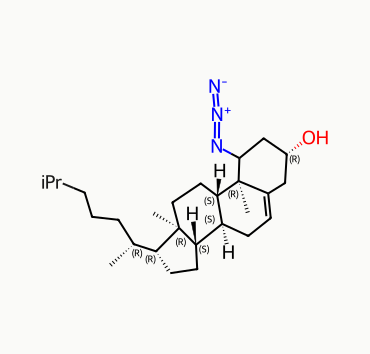 CC(C)CCC[C@@H](C)[C@H]1CC[C@H]2[C@@H]3CC=C4C[C@@H](O)CC(N=[N+]=[N-])[C@]4(C)[C@H]3CC[C@]12C